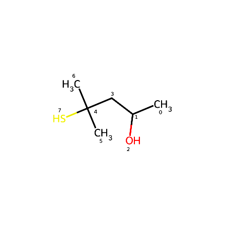 CC(O)CC(C)(C)S